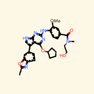 COc1cc(C(=O)N(C)CCO)ccc1Nc1nc(OC2CCCC2)c2c(-c3ccc4nc(C)oc4c3)c[nH]c2n1